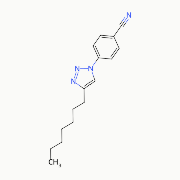 CCCCCCCc1cn(-c2ccc(C#N)cc2)nn1